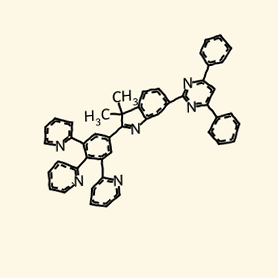 CC1(C)C(c2cc(-c3ccccn3)c(-c3ccccn3)c(-c3ccccn3)c2)=Nc2cc(-c3nc(-c4ccccc4)cc(-c4ccccc4)n3)ccc21